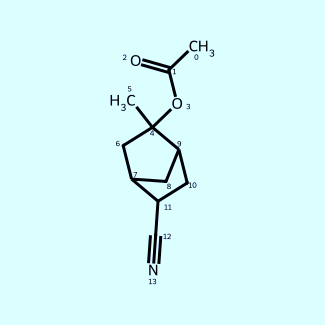 CC(=O)OC1(C)CC2CC1CC2C#N